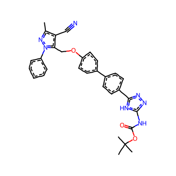 Cc1nn(-c2ccccc2)c(COc2ccc(-c3ccc(-c4nnc(NC(=O)OC(C)(C)C)[nH]4)cc3)cc2)c1C#N